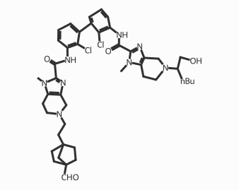 CCCCC(CO)N1CCc2c(nc(C(=O)Nc3cccc(-c4cccc(NC(=O)c5nc6c(n5C)CCN(CCC57CCC(C=O)(CC5)C7)C6)c4Cl)c3Cl)n2C)C1